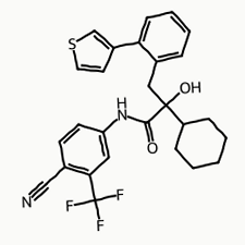 N#Cc1ccc(NC(=O)C(O)(Cc2ccccc2-c2ccsc2)C2CCCCC2)cc1C(F)(F)F